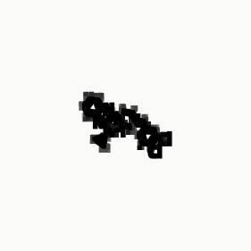 Clc1ccc(CN2CCN(c3nc4ccccc4nc3NC3CC3)CC2)cc1Cl